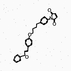 O=C(/C=C/c1ccc(OCCCCc2ccc(N3C(=O)C=CC3=O)cc2)cc1)c1ccccc1